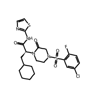 O=C(Nc1nccs1)[C@H](CC1CCCCC1)N1CCN(S(=O)(=O)c2cc(Cl)ccc2F)CC1=O